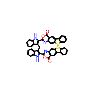 O=c1oc(-c2[nH]c3ccccc3c2Cc2c(-c3nc4cc5sc6ccccc6c5cc4c(=O)o3)[nH]c3ccccc23)nc2cc3sc4ccccc4c3cc12